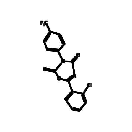 O=c1nc(-c2ccccc2Cl)oc(=O)n1-c1ccc(C(F)(F)F)cc1